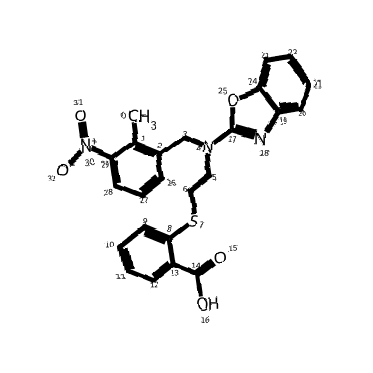 Cc1c(CN(CCSc2ccccc2C(=O)O)c2nc3ccccc3o2)cccc1[N+](=O)[O-]